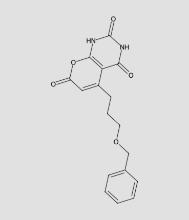 O=c1[nH]c(=O)c2c(CCCOCc3ccccc3)cc(=O)oc2[nH]1